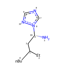 CCCCC(CC)C[C@@H](N)n1cncn1